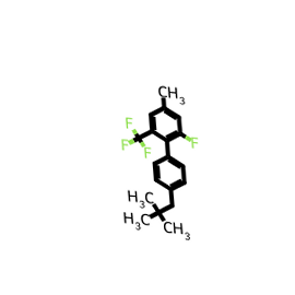 Cc1cc(F)c(-c2ccc(CC(C)(C)C)cc2)c(C(F)(F)F)c1